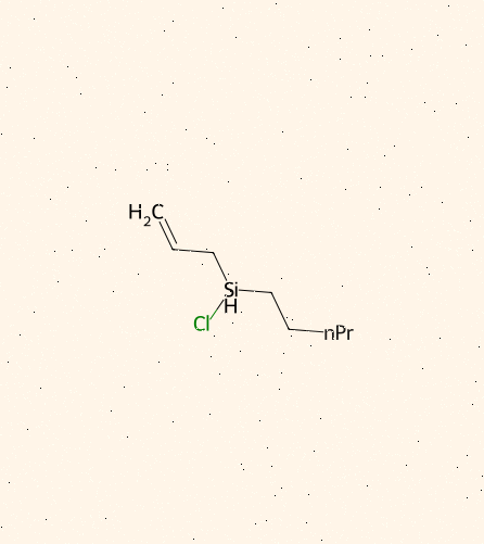 C=CC[SiH](Cl)CCCCC